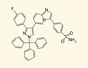 NS(=O)(=O)c1ccc(-c2cnc3ccc(-c4cn(C(c5ccccc5)(c5ccccc5)c5ccccc5)nc4-c4ccc(F)cc4)cn23)cc1